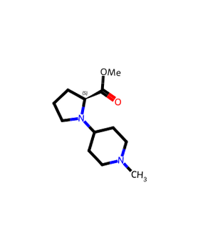 COC(=O)[C@@H]1CCCN1C1CCN(C)CC1